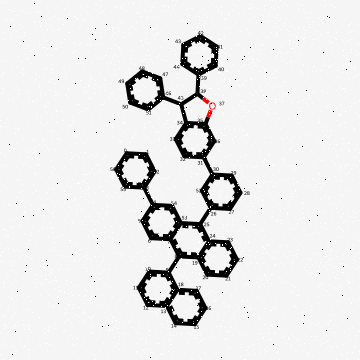 c1ccc(-c2ccc3c(-c4cccc5ccccc45)c4ccccc4c(-c4cccc(-c5ccc6c(c5)OC(c5ccccc5)C6c5ccccc5)c4)c3c2)cc1